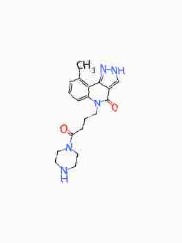 Cc1cccc2c1c1n[nH]cc1c(=O)n2CCCC(=O)N1CCNCC1